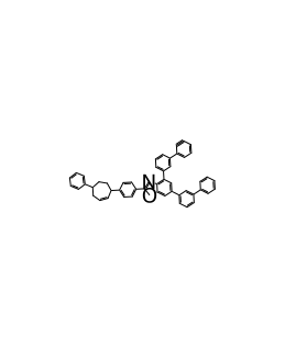 c1cccc(-c2cccc(-c3cc(-c4cccc(-c5ccccc5)c4)cc4oc(-c5ccc(C6C=CCC(c7ccccc7)CC6)cc5)nc34)c2)c#1